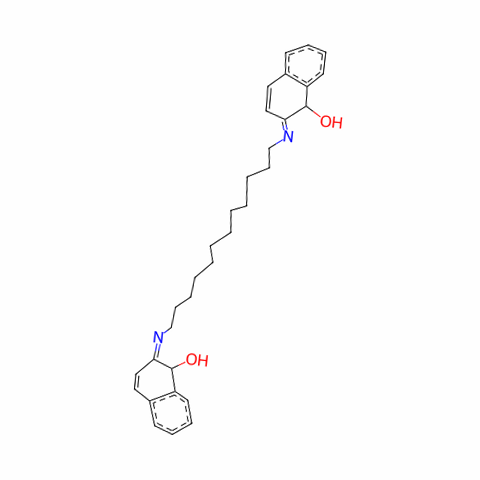 OC1C(=NCCCCCCCCCCCCN=C2C=Cc3ccccc3C2O)C=Cc2ccccc21